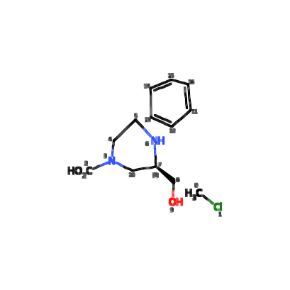 CCl.O=C(O)N1CCN[C@@H](CO)C1.c1ccccc1